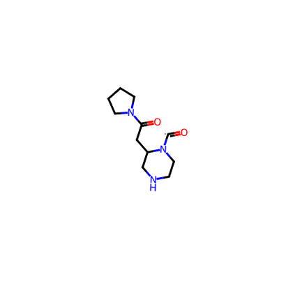 O=[C]N1CCNCC1CC(=O)N1CCCC1